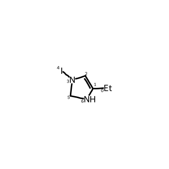 CCC1=CN(I)CN1